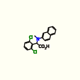 CN(c1ccc2ccccc2c1)C(C(=O)O)c1c(Cl)cccc1Cl